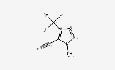 Cn1n[c]c(C(F)(F)F)c1C#N